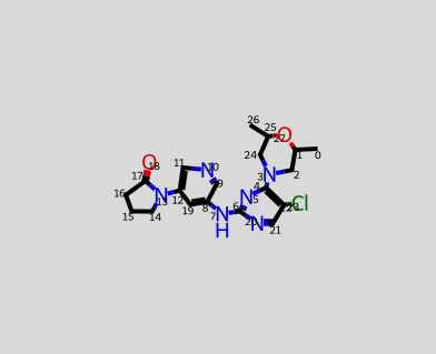 CC1CN(c2nc(Nc3cncc(N4CCCC4=O)c3)ncc2Cl)CC(C)O1